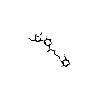 CCc1cc(-c2cc(N(C)CCCOc3ccccc3C)ncn2)n(C)n1